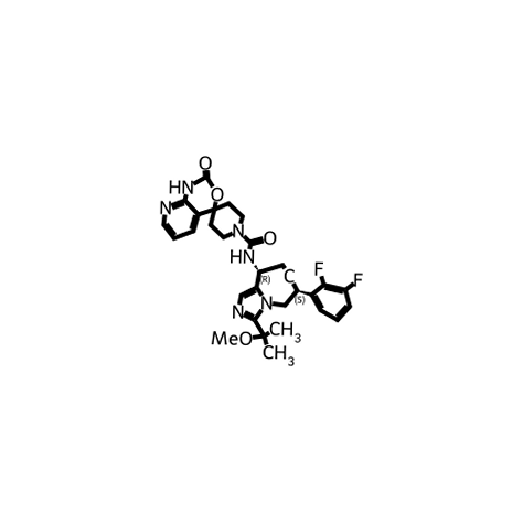 COC(C)(C)c1ncc2n1C[C@H](c1cccc(F)c1F)CC[C@H]2NC(=O)N1CCC2(CC1)OC(=O)Nc1ncccc12